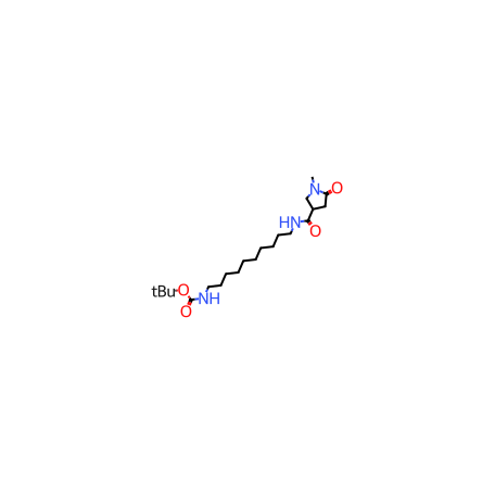 CN1CC(C(=O)NCCCCCCCCCCNC(=O)OC(C)(C)C)CC1=O